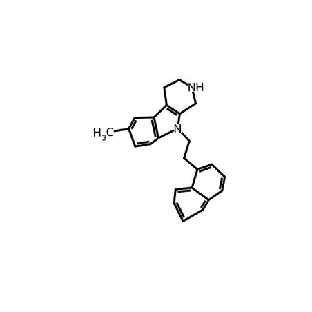 Cc1ccc2c(c1)c1c(n2CCc2cccc3ccccc23)CNCC1